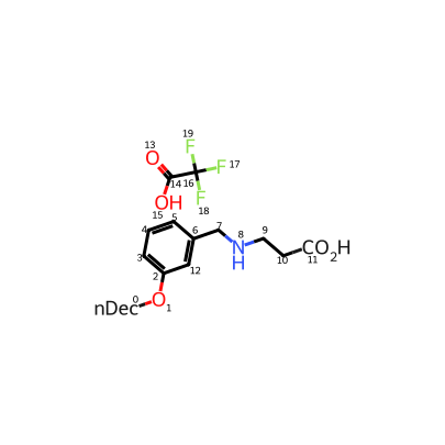 CCCCCCCCCCOc1cccc(CNCCC(=O)O)c1.O=C(O)C(F)(F)F